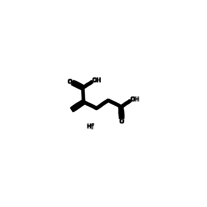 C=C(CCC(=O)O)C(=O)O.[Hf]